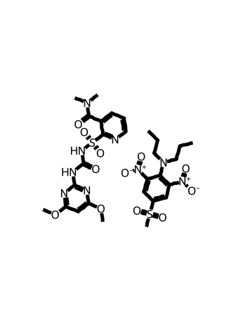 CCCN(CCC)c1c([N+](=O)[O-])cc(S(C)(=O)=O)cc1[N+](=O)[O-].COc1cc(OC)nc(NC(=O)NS(=O)(=O)c2ncccc2C(=O)N(C)C)n1